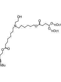 CCCCC#CCCOC(=O)CCCCCCCN(CCO)CCCCCCOC(=O)CCC(OCCCCCCCC)OCCCCCCCC